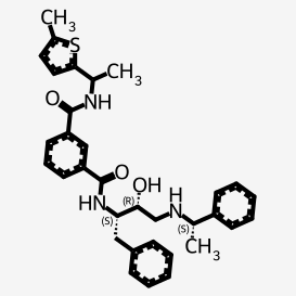 Cc1ccc(C(C)NC(=O)c2cccc(C(=O)N[C@@H](Cc3ccccc3)[C@H](O)CN[C@@H](C)c3ccccc3)c2)s1